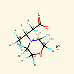 O=C([O-])C(F)(F)C(F)(N1C(F)(F)C(F)(F)OC(F)(F)C1(F)F)C(F)(F)F.[K+]